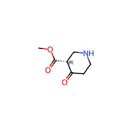 COC(=O)[C@@H]1CNCCC1=O